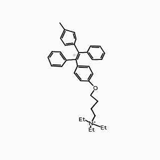 CC[N+](CC)(CC)CCCCOc1ccc(/C(=C(\c2ccccc2)c2ccc(C)cc2)c2ccccc2)cc1